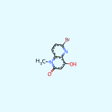 Cn1c(=O)cc(O)c2nc(Br)ccc21